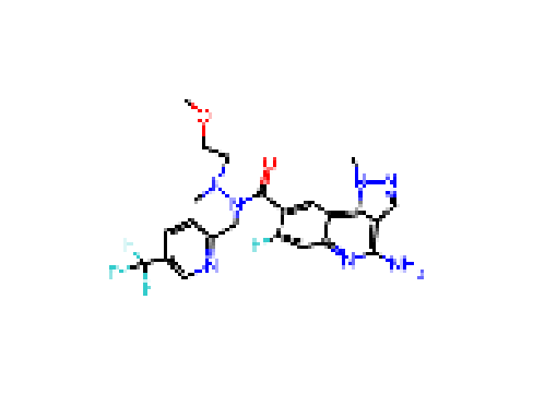 COCCN(C)N(Cc1ccc(C(F)(F)F)cn1)C(=O)c1cc2c(cc1F)nc(N)c1cnn(C)c12